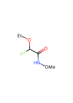 CCOC(F)C(=O)NOC